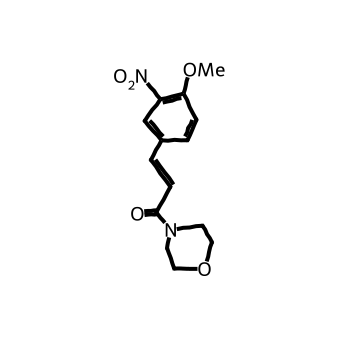 COc1ccc(/C=C/C(=O)N2CCOCC2)cc1[N+](=O)[O-]